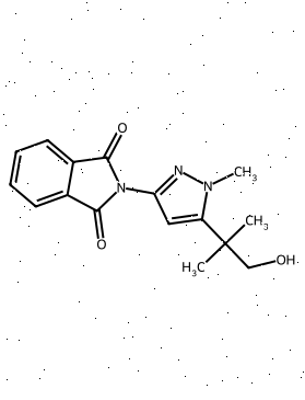 Cn1nc(N2C(=O)c3ccccc3C2=O)cc1C(C)(C)CO